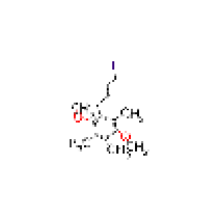 COc1c(C)c(C)c(OC)c(CCCCI)c1C